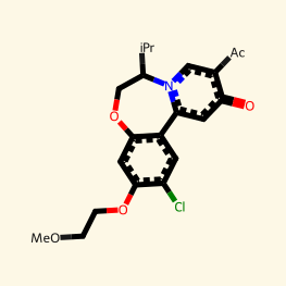 COCCOc1cc2c(cc1Cl)-c1cc(=O)c(C(C)=O)cn1C(C(C)C)CO2